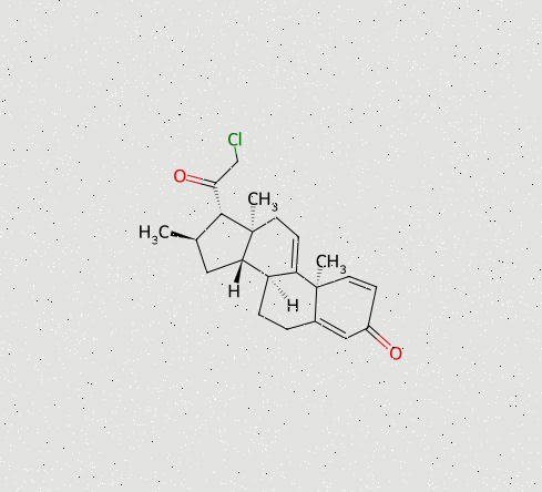 C[C@@H]1C[C@H]2[C@@H]3CCC4=CC(=O)C=C[C@]4(C)C3=CC[C@]2(C)[C@H]1C(=O)CCl